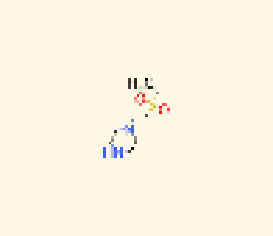 C=CS(=O)(=O)CCN1CCNCC1